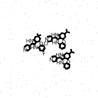 CC(C)C1CC(=O)c2c([nH]c(-c3ccncc3)c2Nc2ccccc2)C1.CC(C)C1CC(=O)c2c([nH]c(-c3ccncc3)c2Nc2ccccc2)C1.CC1(C)CC(=O)c2c([nH]c(-c3ccncc3)c2Nc2cc(F)cc(Cl)c2)C1